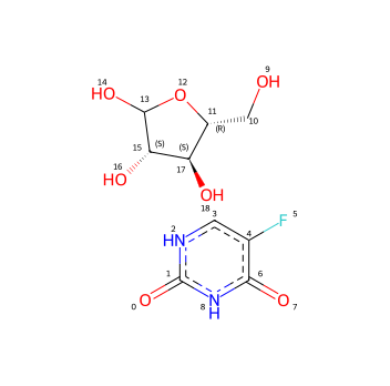 O=c1[nH]cc(F)c(=O)[nH]1.OC[C@H]1OC(O)[C@@H](O)[C@@H]1O